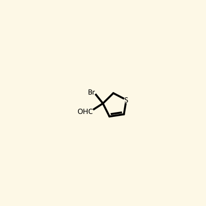 O=CC1(Br)C=CSC1